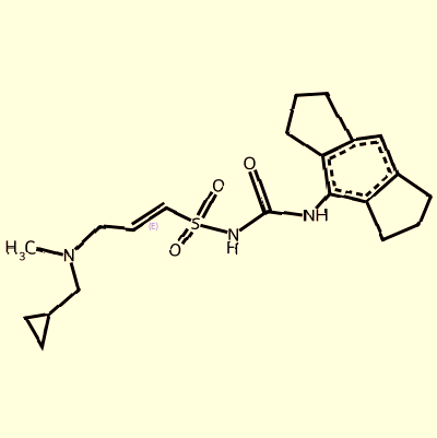 CN(C/C=C/S(=O)(=O)NC(=O)Nc1c2c(cc3c1CCC3)CCC2)CC1CC1